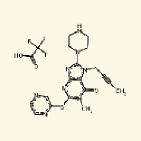 CC#CCn1c(N2CCNCC2)nc2nc(Sc3cnccn3)n(C)c(=O)c21.O=C(O)C(F)(F)F